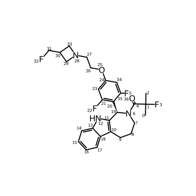 CC(C)(F)C(=O)N1CCCc2c([nH]c3ccccc23)[C@H]1c1c(F)cc(OCCN2CC(CF)C2)cc1F